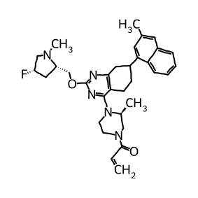 C=CC(=O)N1CCN(c2nc(OC[C@@H]3C[C@H](F)CN3C)nc3c2CCC(c2cc(C)cc4ccccc24)C3)[C@@H](C)C1